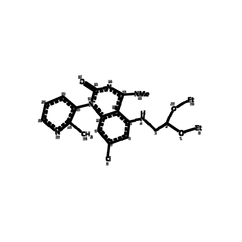 CCOC(CNc1cc(Cl)cc2c1c(NC)nc(=O)n2-c1cccnc1C)OCC